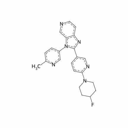 Cc1ccc(-n2c(-c3ccc(N4CCC(F)CC4)nc3)nc3ccncc32)cn1